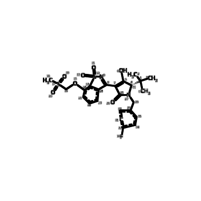 CC(C)(C)[C@H]1C(O)=C(C2=NS(=O)(=O)c3c(OCS(C)(=O)=O)cccc32)C(=O)N1Cc1ccc(F)cc1